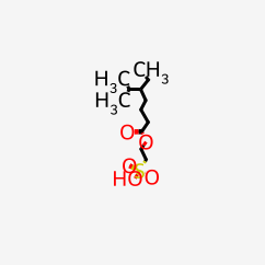 CCC(CCCC(=O)OCCS(=O)(=O)O)C(C)C